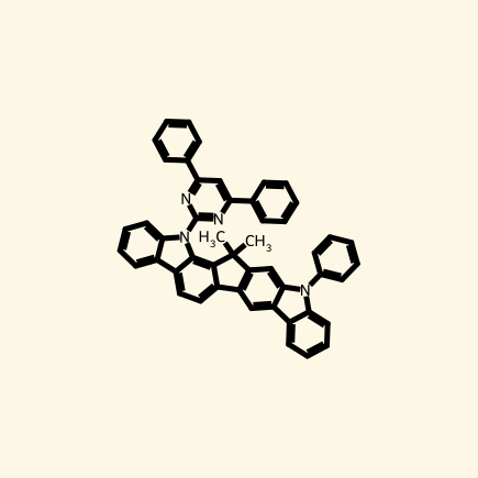 CC1(C)c2cc3c(cc2-c2ccc4c5ccccc5n(-c5nc(-c6ccccc6)cc(-c6ccccc6)n5)c4c21)c1ccccc1n3-c1ccccc1